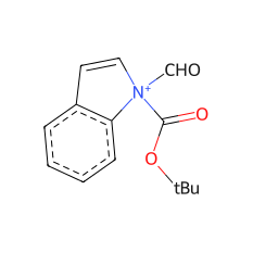 CC(C)(C)OC(=O)[N+]1(C=O)C=Cc2ccccc21